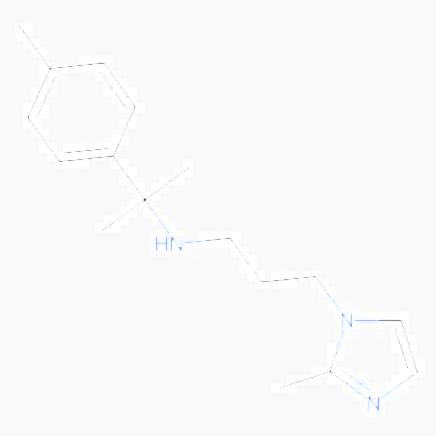 Cc1ccc(C(C)(C)NCCCn2ccnc2C)cc1